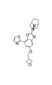 FN1C2CCC1CN(c1nc3cc(OCC4COC4)cc(-c4nccs4)c3o1)C2